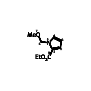 CCOC(=O)c1cccn1COC